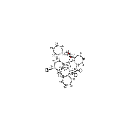 O=S1(=O)c2ccccc2C2(c3ccccc3-c3ccccc3-c3cc(Br)ccc32)c2ccc3ccccc3c21